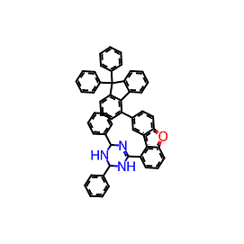 c1ccc(C2N=C(c3cccc4oc5ccc(-c6cccc7c6-c6ccccc6C7(c6ccccc6)c6ccccc6)cc5c34)NC(c3ccccc3)N2)cc1